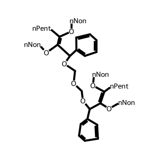 CCCCCCCCCOC(CCCCC)=C(OCCCCCCCCC)C(OCOCOC(C(OCCCCCCCCC)=C(CCCCC)OCCCCCCCCC)c1ccccc1)c1ccccc1